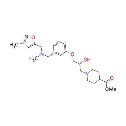 COC(=O)C1CCN(CC(O)COc2cccc(CN(C)Cc3cc(C)no3)c2)CC1